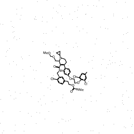 CNC(=O)OCCc1ccc(Cl)c(CNC(=O)C2=C(c3ccc(OCCOc4c(Cl)cc(C)cc4Cl)cc3)CCN(C3CC3)C2COCOC)c1